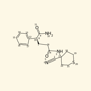 N#CC1(NC(=O)[CH]C[C@H](C(N)=O)c2ccccc2)CCSCC1